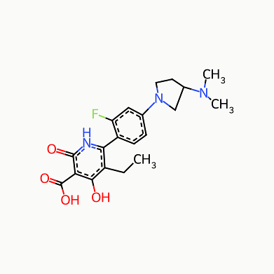 CCc1c(-c2ccc(N3CCC(N(C)C)C3)cc2F)[nH]c(=O)c(C(=O)O)c1O